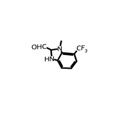 CN1c2c(cccc2C(F)(F)F)NC1C=O